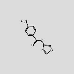 O=C(Oc1cocn1)c1ccc([N+](=O)[O-])cc1